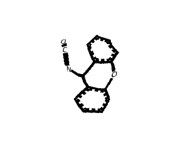 O=C=NC1c2ccccc2Oc2ccccc21